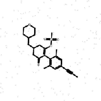 CC#Cc1cc(C)c(C2=C(OS(C)(=O)=O)CC(CC3CCOCC3)CC2=O)c(C)c1